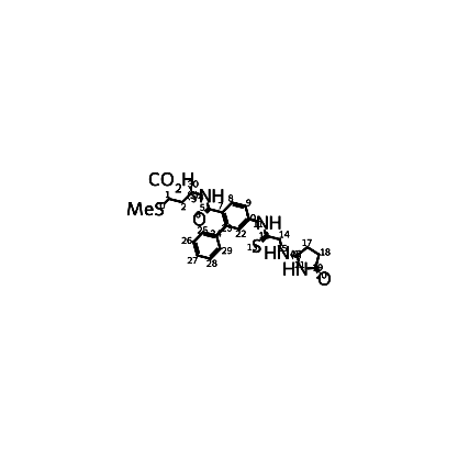 CSCC[C@H](NC(=O)c1ccc(NC(=S)CN[C@@H]2CCC(=O)N2)cc1-c1ccccc1)C(=O)O